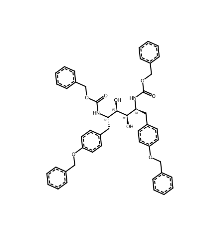 O=C(N[C@@H](Cc1ccc(OCc2ccccc2)cc1)[C@@H](O)[C@H](O)[C@H](Cc1ccc(OCc2ccccc2)cc1)NC(=O)OCc1ccccc1)OCc1ccccc1